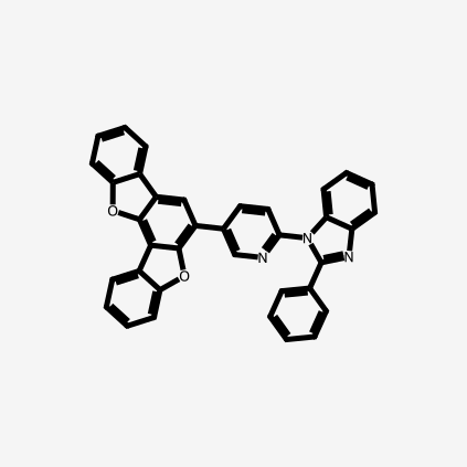 c1ccc(-c2nc3ccccc3n2-c2ccc(-c3cc4c5ccccc5oc4c4c3oc3ccccc34)cn2)cc1